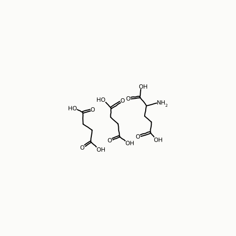 NC(CCC(=O)O)C(=O)O.O=C(O)CCC(=O)O.O=C(O)CCC(=O)O